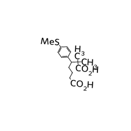 CSc1ccc(C(CCCC(=O)O)C(C)(C)C(=O)O)cc1